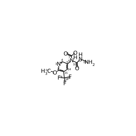 COc1ncc(N(C(=O)O)C(=O)NN)cc1C(F)(F)F